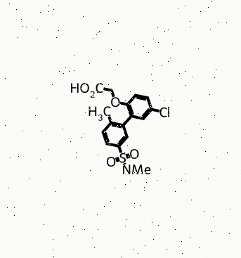 CNS(=O)(=O)c1ccc(C)c(-c2cc(Cl)ccc2OCC(=O)O)c1